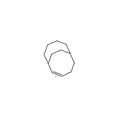 C1=C\[C]2CCCCC(CC/1)CC2